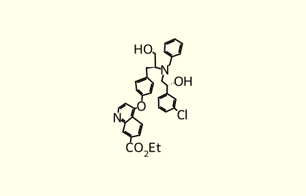 CCOC(=O)c1ccc2c(Oc3ccc(C[C@@H](CO)N(Cc4ccccc4)C[C@H](O)c4cccc(Cl)c4)cc3)ccnc2c1